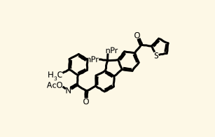 CCCC1(CCC)c2cc(C(=O)/C(=N/OC(C)=O)c3ccccc3C)ccc2-c2ccc(C(=O)c3cccs3)cc21